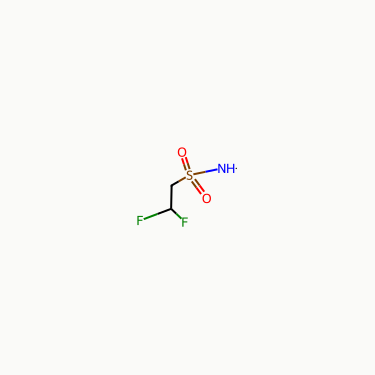 [NH]S(=O)(=O)CC(F)F